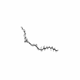 CCCCCCCCCCCCCCCCC#COOS(=O)(=O)CCOCCOCC